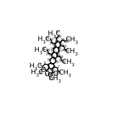 CCCc1c2c(c(CCC)c(C(=O)OC)c1C(=O)OC)Cc1c(c(CCC)c3cc4c(CCC)c(CCC)c(CCC)c(CCC)c4cc3c1CCC)C2